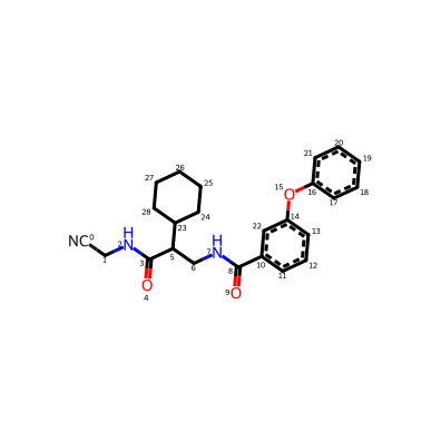 N#CCNC(=O)C(CNC(=O)c1cccc(Oc2ccccc2)c1)C1CCCCC1